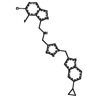 Fc1c(Cl)ccn2cnc(CNCc3cn(Cc4cn5cc(C6CC6)ccc5n4)nn3)c12